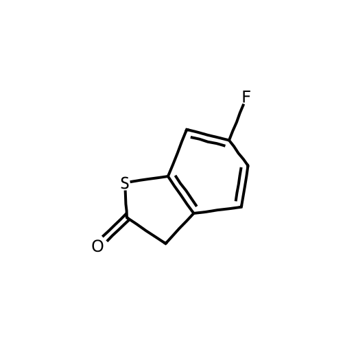 O=C1Cc2ccc(F)cc2S1